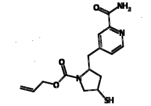 C=CCOC(=O)N1CC(S)CC1Cc1ccnc(C(N)=O)c1